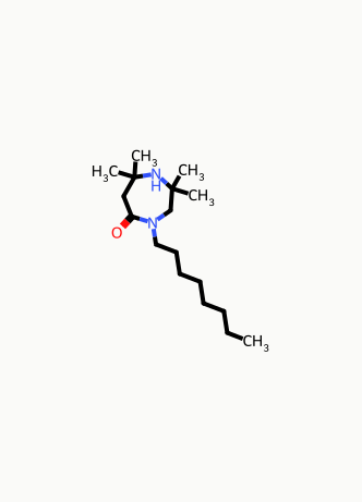 CCCCCCCCN1CC(C)(C)NC(C)(C)CC1=O